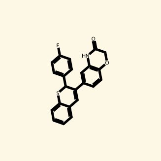 O=C1COc2ccc(C3=Cc4ccccc4SC3c3ccc(F)cc3)cc2N1